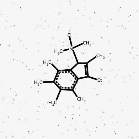 CCC1=C(C)C([Si](C)(C)Cl)c2c(C)c(C)c(C)c(C)c21